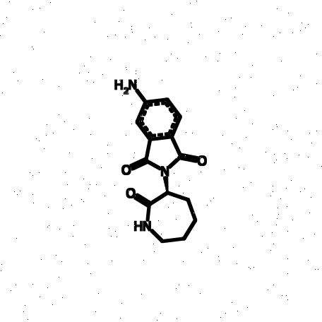 Nc1ccc2c(c1)C(=O)N([C@H]1CCCCNC1=O)C2=O